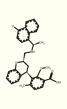 COc1c(C(=O)O)ccc(C)c1[C@@H]1C[C@H](CN[C@H](C)c2ccc(F)c3ccccc23)Oc2ccccc21